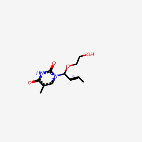 C/C=C/C(OCCO)n1cc(C)c(=O)[nH]c1=O